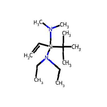 C=C[Si](N(C)C)(N(CC)CC)C(C)(C)C